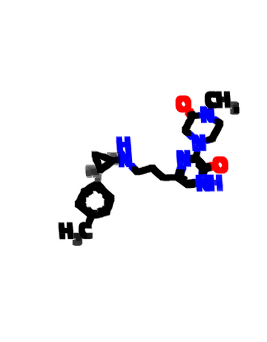 Cc1ccc([C@@H]2C[C@H]2NCCCc2c[nH]c(=O)c(N3CCN(C)C(=O)C3)n2)cc1